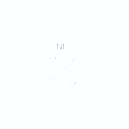 O=P([O-])([O-])[O-].[Nb+3]